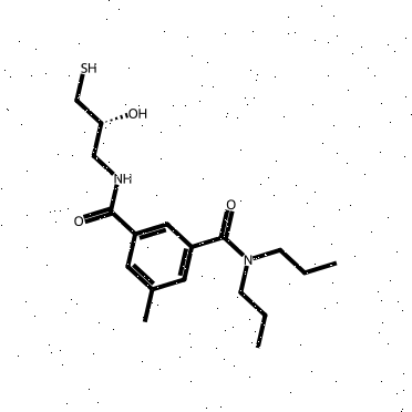 CCCN(CCC)C(=O)c1cc(C)cc(C(=O)NC[C@@H](O)CS)c1